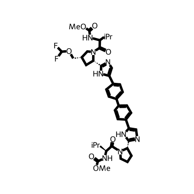 COC(=O)NC(C(=O)N1C[C@@H](COC(F)F)C[C@H]1c1ncc(-c2ccc(-c3ccc(-c4cnc([C@@H]5CCCN5C(=O)[C@@H](NC(=O)OC)C(C)C)[nH]4)cc3)cc2)[nH]1)C(C)C